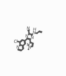 C=CCNc1nc(-c2ccn(C)n2)c(-c2cc(Cl)c3ncccc3c2)nc1C#N